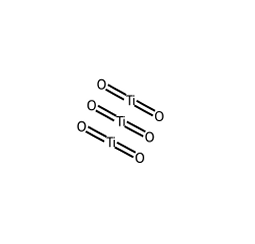 [O]=[Ti]=[O].[O]=[Ti]=[O].[O]=[Ti]=[O]